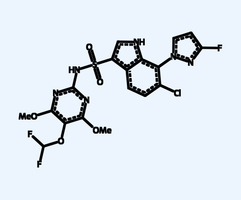 COc1nc(NS(=O)(=O)c2c[nH]c3c(-n4ccc(F)n4)c(Cl)ccc23)nc(OC)c1OC(F)F